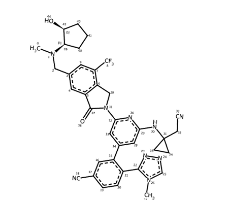 CN(Cc1cc2c(c(C(F)(F)F)c1)CN(c1cc(-c3cc(C#N)ccc3-c3nncn3C)cc(NC3(CC#N)CC3)n1)C2=O)[C@@H]1CCC[C@@H]1O